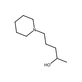 CC(O)CCCN1CCCCC1